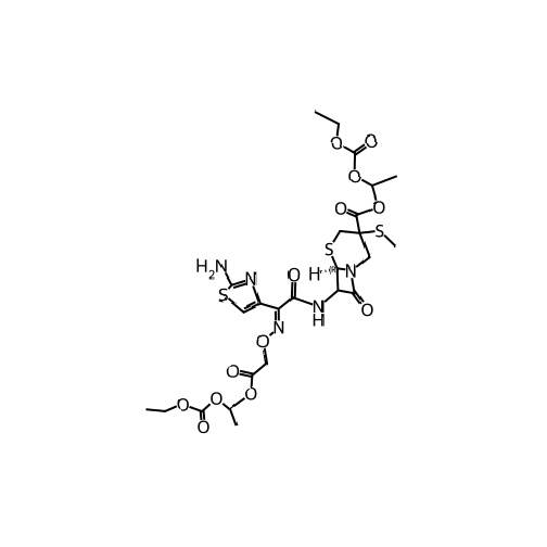 CCOC(=O)OC(C)OC(=O)CON=C(C(=O)NC1C(=O)N2CC(SC)(C(=O)OC(C)OC(=O)OCC)CS[C@H]12)c1csc(N)n1